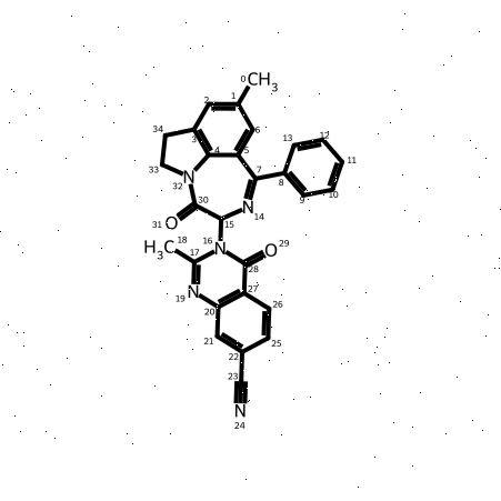 Cc1cc2c3c(c1)C(c1ccccc1)=NC(n1c(C)nc4cc(C#N)ccc4c1=O)C(=O)N3CC2